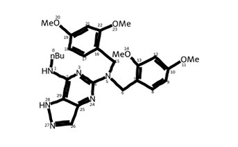 CCCCNc1nc(N(Cc2ccc(OC)cc2OC)Cc2ccc(OC)cc2OC)nc2cn[nH]c12